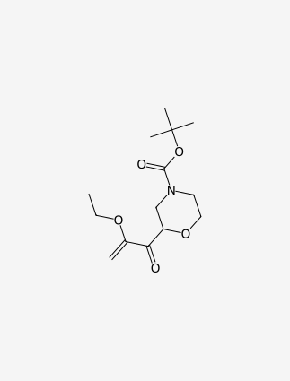 C=C(OCC)C(=O)C1CN(C(=O)OC(C)(C)C)CCO1